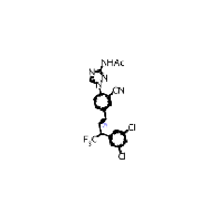 CC(=O)Nc1ncn(-c2ccc(/C=C/C(c3cc(Cl)cc(Cl)c3)C(F)(F)F)cc2C#N)n1